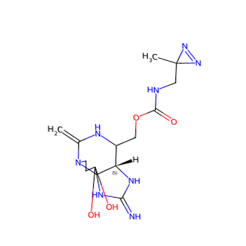 C=C1NC(COC(=O)NCC2(C)N=N2)[C@@H]2NC(=N)NC23N1CCC3(O)O